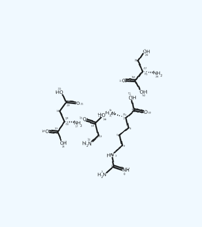 N=C(N)NCCC[C@H](N)C(=O)O.NCC(=O)O.N[C@@H](CC(=O)O)C(=O)O.N[C@@H](CO)C(=O)O